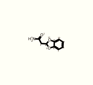 NC(=O)CC1Oc2ccccc2O1